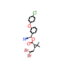 CC1(C)[C@H](C(=O)OC(C#N)c2cccc(Oc3ccc(Cl)cc3)c2)[C@@H]1C=C(Br)Br